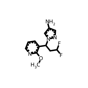 COc1ncccc1C(CC(F)F)n1cc(N)cn1